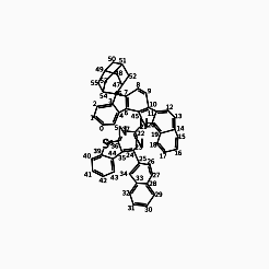 c1ccc2c(c1)-c1c(ccc3c4ccc5ccccc5c4n(-c4nc(-c5ccc6ccccc6c5)c5c(n4)sc4ccccc45)c13)C21C2CC3CC(C2)CC1C3